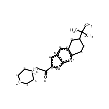 CC(C)(C)C1CCc2nc3sc(C(=O)NN4CCOCC4)cc3cc2C1